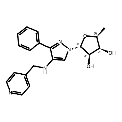 C[C@@H]1O[C@@H](n2cc(NCc3ccncc3)c(-c3ccccc3)n2)[C@H](O)[C@@H]1O